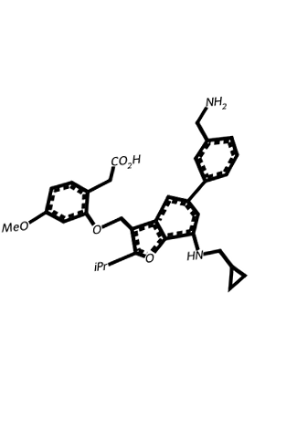 COc1ccc(CC(=O)O)c(OCc2c(C(C)C)oc3c(NCC4CC4)cc(-c4cccc(CN)c4)cc23)c1